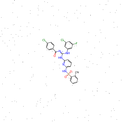 N#Cc1ccccc1S(=O)(=O)Nc1cccc(N/C(=N\C(=O)c2ccc(Cl)cc2)Nc2cc(F)cc(Cl)c2)n1